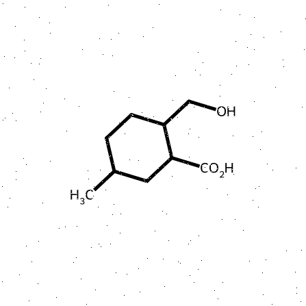 CC1CCC(CO)C(C(=O)O)C1